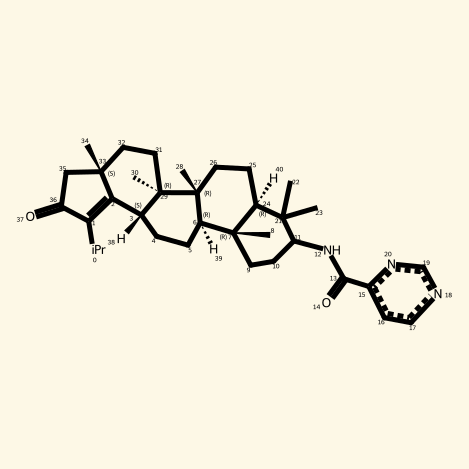 CC(C)C1=C2[C@H]3CC[C@@H]4[C@@]5(C)CCC(NC(=O)c6ccncn6)C(C)(C)[C@@H]5CC[C@@]4(C)[C@]3(C)CC[C@@]2(C)CC1=O